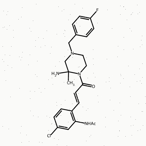 CC(=O)Nc1cc(Cl)ccc1/C=C/C(=O)N1CCN(Cc2ccc(F)cc2)CC1(C)N